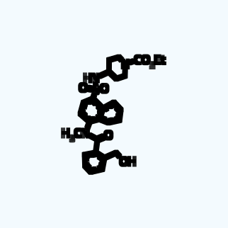 CCOC(=O)N1CCC(NS(=O)(=O)c2ccc(N(C)C(=O)c3ccccc3CO)c3ccccc23)CC1